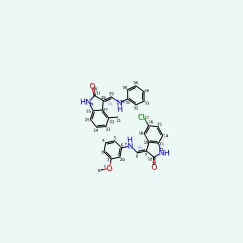 COc1cccc(N/C=C2/C(=O)Nc3ccc(Cl)cc32)c1.Cc1cccc2c1/C(=C\Nc1ccccc1)C(=O)N2